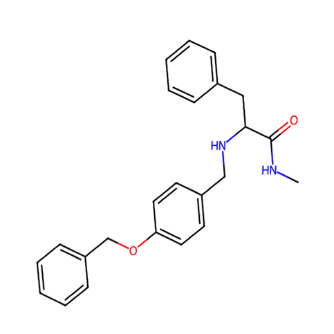 CNC(=O)C(Cc1ccccc1)NCc1ccc(OCc2ccccc2)cc1